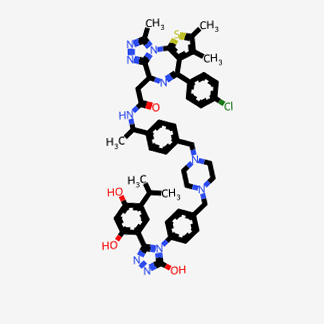 Cc1sc2c(c1C)C(c1ccc(Cl)cc1)=NC(CC(=O)NC(C)c1ccc(CN3CCN(Cc4ccc(-n5c(O)nnc5-c5cc(C(C)C)c(O)cc5O)cc4)CC3)cc1)c1nnc(C)n1-2